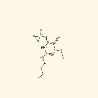 CCCCOC(=O)N[C@@H](CC1(C)CC1)C(=O)OCC